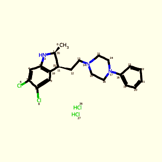 C[C@@H]1Nc2cc(Cl)c(Cl)cc2[C@@H]1CCN1CCN(c2ccccc2)CC1.Cl.Cl